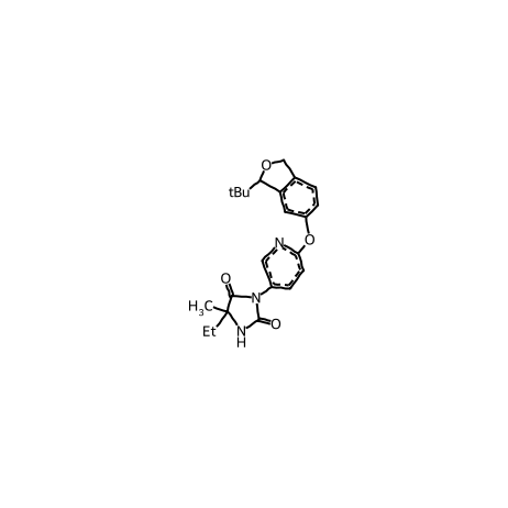 CCC1(C)NC(=O)N(c2ccc(Oc3ccc4c(c3)C(C(C)(C)C)OC4)nc2)C1=O